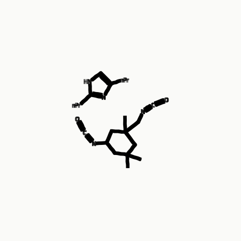 CC1(C)CC(N=C=O)CC(C)(CN=C=O)C1.CCCc1c[nH]c(CCC)n1